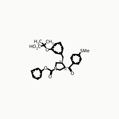 CSc1ccc(C(=O)[C@@H]2CN(C(=O)Oc3ccccc3)C[C@H]2Cc2cccc(OC(C)(C)C(=O)O)c2)cc1